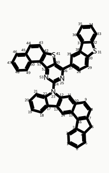 c1ccc2c(c1)Cc1ccc3cc4c(cc3c1-2)c1ccccc1n4-c1nc(-c2ccc3sc4ccccc4c3c2)c2sc3ccc4ccccc4c3c2n1